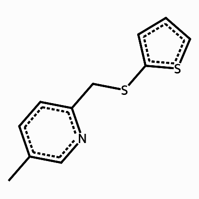 Cc1ccc(CSc2cccs2)nc1